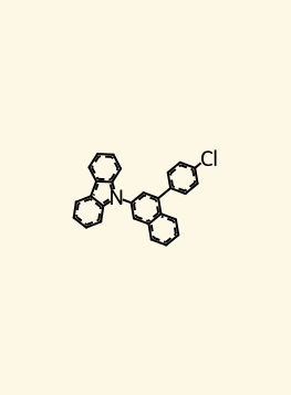 Clc1ccc(-c2cc(-n3c4ccccc4c4ccccc43)cc3ccccc23)cc1